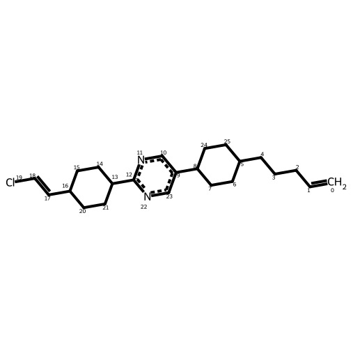 C=CCCCC1CCC(c2cnc(C3CCC(/C=C/Cl)CC3)nc2)CC1